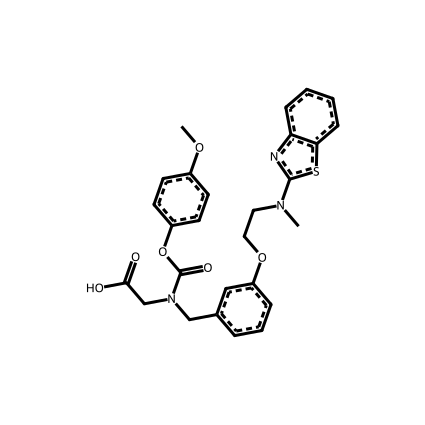 COc1ccc(OC(=O)N(CC(=O)O)Cc2cccc(OCCN(C)c3nc4ccccc4s3)c2)cc1